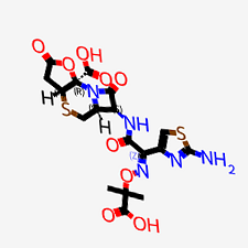 CC(C)(O/N=C(\C(=O)N[C@@H]1C(=O)N2[C@@H]1CS[C@@H]1CC(=O)O[C@]12C(=O)O)c1csc(N)n1)C(=O)O